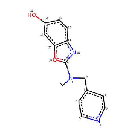 CN(Cc1ccncc1)c1nc2ccc(O)cc2o1